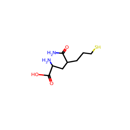 NC(=O)C(CCCS)CC(N)C(=O)O